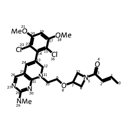 C/C=C/C(=O)N1CC(OCCN2CC(c3c(Cl)c(OC)cc(OC)c3Cl)=Cc3cnc(NC)nc32)C1